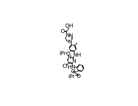 Cc1cc(Nc2ncc(Cl)c(Nc3ccccc3S(=O)(=O)C(C)C)n2)c(OC(C)C)cc1N1C=NN(C(=O)CO)CC1